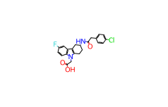 O=C(O)Cn1c2c(c3cc(F)ccc31)C[C@H](NC(=O)Cc1ccc(Cl)cc1)CC2